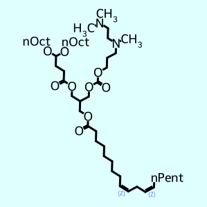 CCCCC/C=C\C/C=C\CCCCCCCC(=O)OCC(COC(=O)CCC(OCCCCCCCC)OCCCCCCCC)COC(=O)OCCCN(C)CCN(C)C